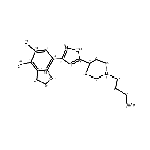 COCCCN1CCC(c2nc(-c3cc(Cl)c(N)c4c3OCC4)no2)CC1